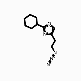 [N-]=[N+]=NCCc1coc(C2CCCCC2)n1